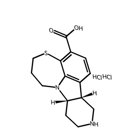 Cl.Cl.O=C(O)c1ccc2c3c1SCCCN3[C@H]1CCNC[C@@H]21